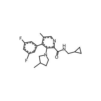 Cc1cnc(C(=O)NCC2CC2)c(N2CCC(C)C2)c1-c1cc(F)cc(F)c1